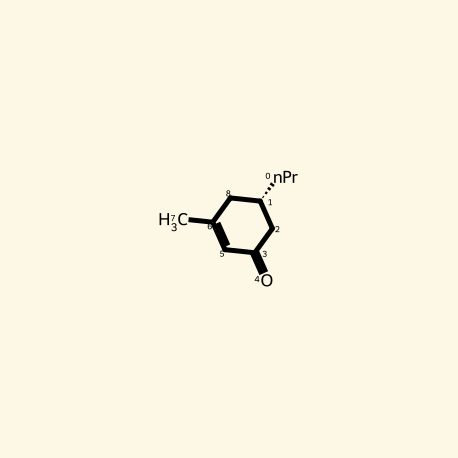 CCC[C@@H]1CC(=O)C=C(C)C1